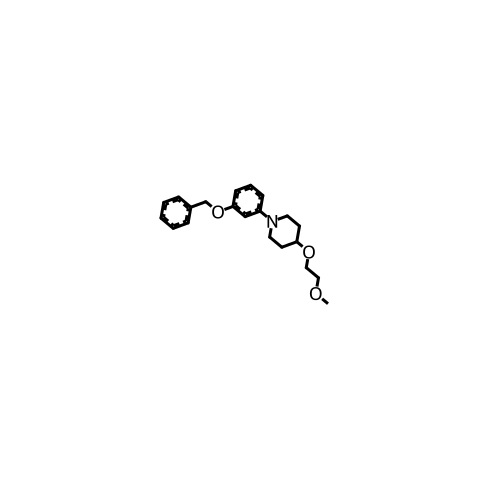 COCCOC1CCN(c2cccc(OCc3ccccc3)c2)CC1